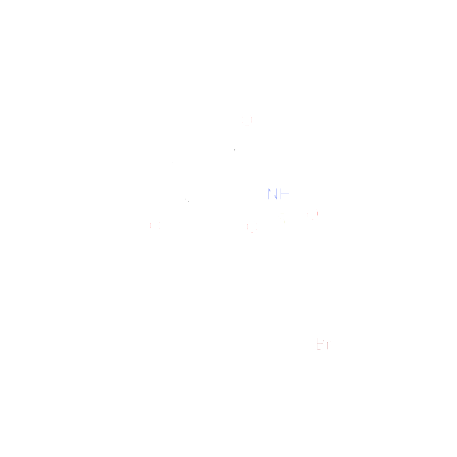 O=C1C=C(NS(=O)(=O)c2ccc(Br)cc2)C(=O)c2ccccc21